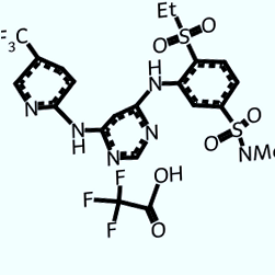 CCS(=O)(=O)c1ccc(S(=O)(=O)NC)cc1Nc1cc(Nc2ccc(C(F)(F)F)cn2)ncn1.O=C(O)C(F)(F)F